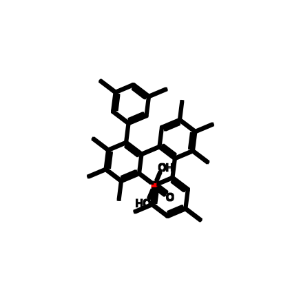 Cc1cc(C)cc(-c2c(-c3c(-c4cc(C)cc(C)c4)c(C)c(C)c(C)c3P(=O)(O)O)cc(C)c(C)c2C)c1